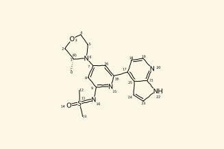 C[C@@H]1COCCN1c1cc(N=S(C)(C)=O)nc(-c2ccnc3[nH]ccc23)c1